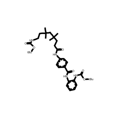 CC(C)(CCNC(=O)OC(C)(C)C)CC(C)(C)CCC(=O)Nc1ccc(C(=O)Nc2ccccc2NC(=O)OC(C)(C)C)cc1